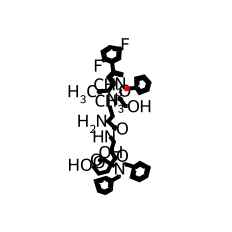 CC(C)(C)[C@H](c1cc(-c2cc(F)ccc2F)cn1Cc1ccccc1)N(CC[C@H](N)C(=O)NCCC(=O)C(CCC(=O)O)(C(=O)O)N(Cc1ccccc1)Cc1ccccc1)C(=O)CO